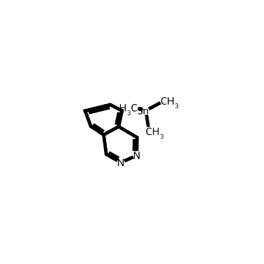 [CH3][Sn]([CH3])[CH3].c1ccc2cnncc2c1